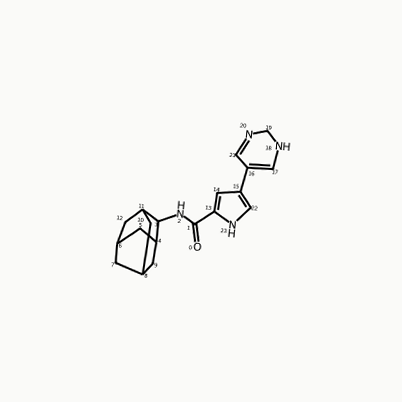 O=C(NC1C2CC3CC(C2)CC1C3)c1cc(C2=CNCN=C2)c[nH]1